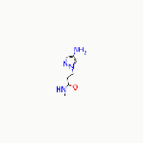 CNC(=O)CCn1cc(N)cn1